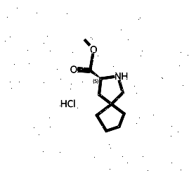 COC(=O)[C@@H]1CC2(CCCC2)CN1.Cl